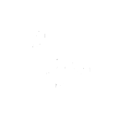 Cc1sc(Cl)cc1C(=O)CCCC(=O)O